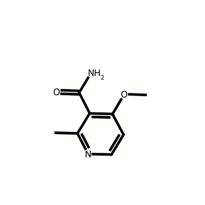 COc1ccnc(C)c1C(N)=O